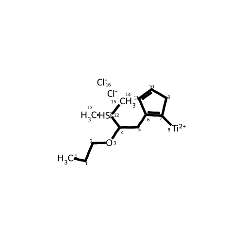 CCCOC(CC1=[C]([Ti+2])CC=C1)[SiH](C)C.[Cl-].[Cl-]